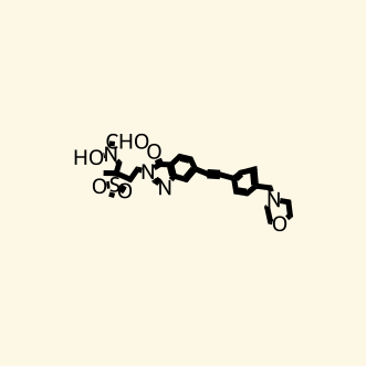 CC(CCn1cnc2cc(C#Cc3ccc(CN4CCOCC4)cc3)ccc2c1=O)(CN(O)C=O)S(C)(=O)=O